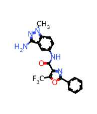 Cn1nc(N)c2cc(NC(=O)c3nc(-c4ccccc4)oc3C(F)(F)F)ccc21